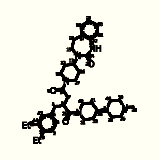 CCc1ccc(CC(CC(=O)N2CCC(N3CCc4ccccc4NC3=O)CC2)C(=O)N2CCC(N3CCN(C)CC3)CC2)cc1CC